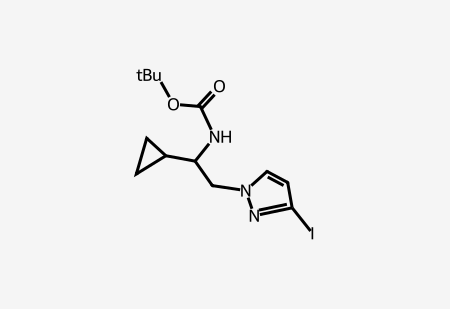 CC(C)(C)OC(=O)NC(Cn1ccc(I)n1)C1CC1